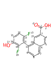 O=C(O)c1ccc2cccc(-c3c(F)ccc(O)c3F)c2c1